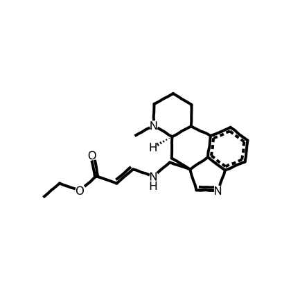 CCOC(=O)C=CNCC12C=Nc3cccc(c31)C1CCCN(C)[C@@H]1C2